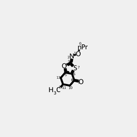 CCCON=c1oc2c(s1)C(=O)CC(C)C2